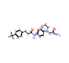 CC(C)(C)c1ccc(CCC(=O)Nc2ccc3c(c2)OCCN3CC(N)=O)cc1